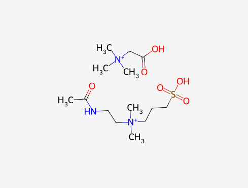 CC(=O)NCC[N+](C)(C)CCCS(=O)(=O)O.C[N+](C)(C)CC(=O)O